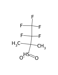 CC(C)([SH](=O)=O)C(F)(F)C(F)(F)F